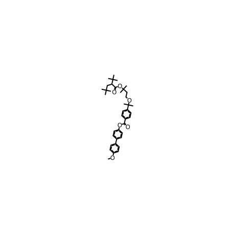 COc1ccc(-c2ccc(OC(=O)c3ccc(C(C)(C)OCCC(C)(C)OC(=O)C(CC(C)(C)C)C(C)(C)C)cc3)cc2)cc1